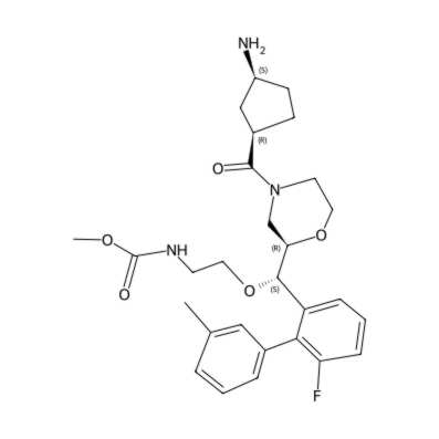 COC(=O)NCCO[C@@H](c1cccc(F)c1-c1cccc(C)c1)[C@H]1CN(C(=O)[C@@H]2CC[C@H](N)C2)CCO1